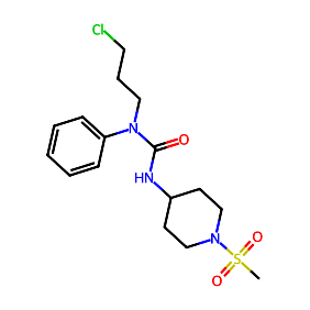 CS(=O)(=O)N1CCC(NC(=O)N(CCCCl)c2ccccc2)CC1